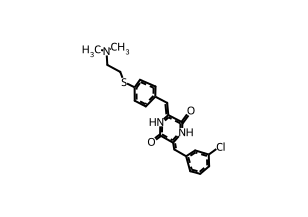 CN(C)CCSc1ccc(/C=c2\[nH]c(=O)/c(=C/c3cccc(Cl)c3)[nH]c2=O)cc1